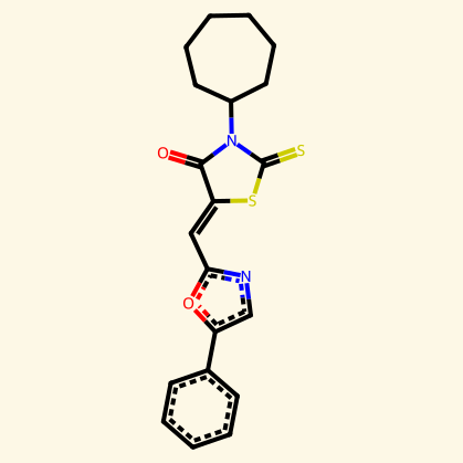 O=C1/C(=C/c2ncc(-c3ccccc3)o2)SC(=S)N1C1CCCCCC1